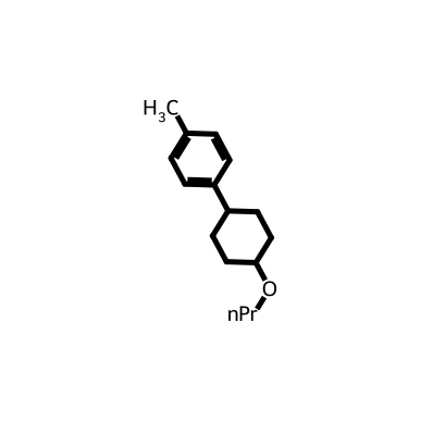 CCCOC1CCC(c2ccc(C)cc2)CC1